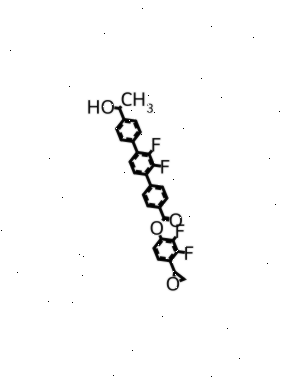 CC(O)c1ccc(-c2ccc(-c3ccc(C(=O)Oc4ccc(C5CO5)c(F)c4F)cc3)c(F)c2F)cc1